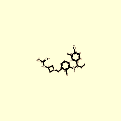 CCC(Nc1cccc(CN2CC(OC(=O)O)C2)c1C)c1ccc(Cl)c(C)c1